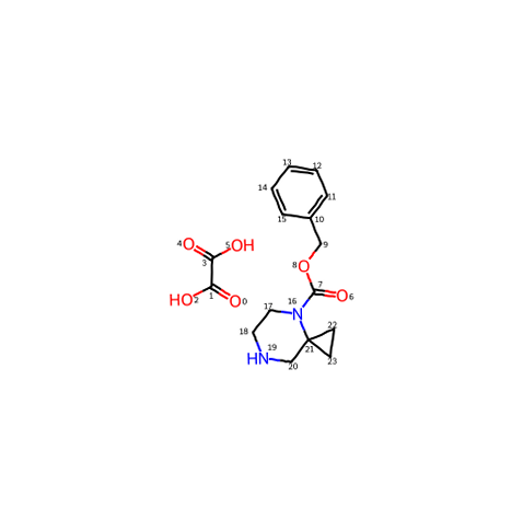 O=C(O)C(=O)O.O=C(OCc1ccccc1)N1CCNCC12CC2